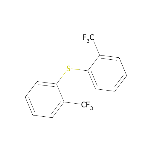 FC(F)(F)c1ccccc1Sc1ccccc1C(F)(F)F